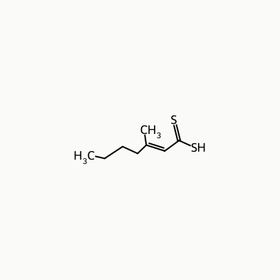 CCCC/C(C)=C/C(=S)S